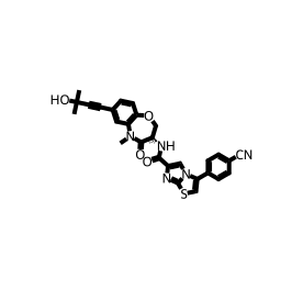 CN1C(=O)[C@@H](NC(=O)c2cn3c(-c4ccc(C#N)cc4)csc3n2)COc2ccc(C#CC(C)(C)O)cc21